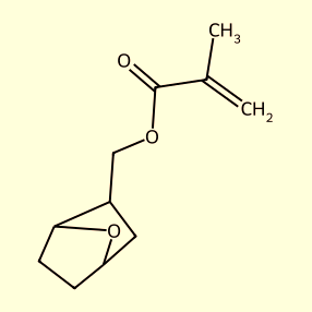 C=C(C)C(=O)OCC1CC2CCC1O2